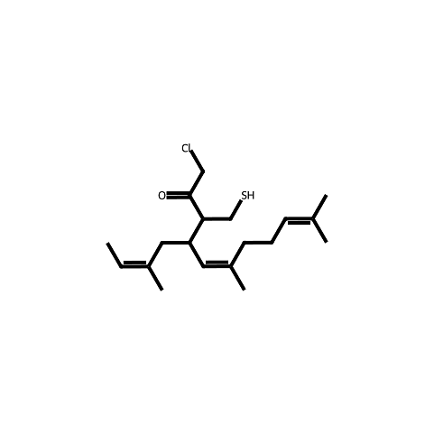 CC=C(C)CC(C=C(C)CCC=C(C)C)C(CS)C(=O)CCl